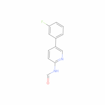 O=[C]Nc1ccc(-c2cccc(F)c2)cn1